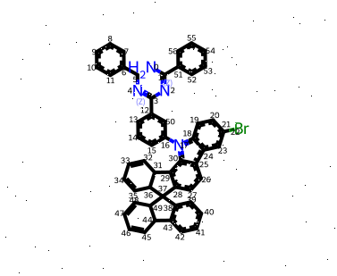 N/C(=N\C(=N/Cc1ccccc1)c1cccc(-n2c3ccc(Br)cc3c3ccc4c(c32)C2C=CC=CC2C42c3ccccc3C3C=CC=CC32)c1)c1ccccc1